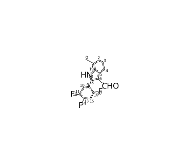 Cc1cccc2c(C=O)c(-c3cc(F)c(F)cc3F)[nH]c12